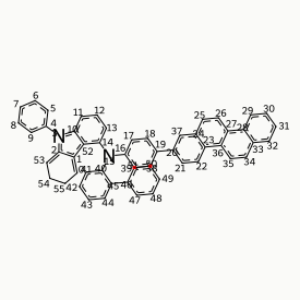 C1=c2c(n(-c3ccccc3)c3cccc(N(c4ccc(-c5ccc6c(ccc7c8ccccc8ccc67)c5)cc4)c4ccccc4-c4ccccc4)c23)=CCC1